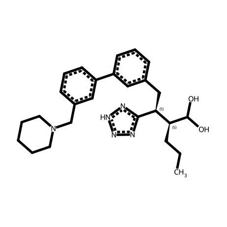 CCC[C@H](C(O)O)[C@H](Cc1cccc(-c2cccc(CN3CCCCC3)c2)c1)c1nn[nH]n1